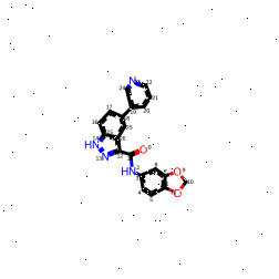 O=C(Nc1ccc2c(c1)OCO2)c1n[nH]c2ccc(-c3cccnc3)cc12